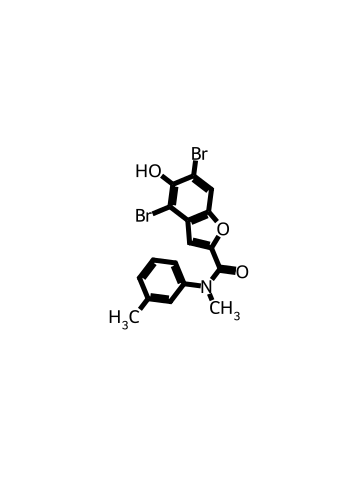 Cc1cccc(N(C)C(=O)c2cc3c(Br)c(O)c(Br)cc3o2)c1